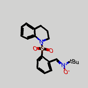 CC(C)(C)[N+]([O-])=Cc1ccccc1S(=O)(=O)N1CCCc2ccccc21